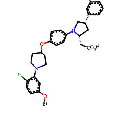 CCOc1ccc(F)c(N2CCC(Oc3ccc(N4C[C@H](c5cccc(C(F)(F)F)c5)C[C@@H]4CC(=O)O)cc3)CC2)c1